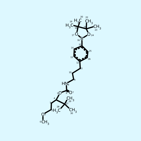 COCCC(OC(=O)NCCCc1ccc(B2OC(C)(C)C(C)(C)O2)cc1)C(C)(C)C